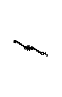 CCCCCCCCCc1ccc(-c2ncc(OCCCCCCCCCC3CCCC3)cn2)cc1